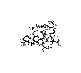 COc1cc(OC2CC(c3cc4c(C(C)O)nc5c(F)c(-c6cccc(Cl)c6Cl)c(CCC#N)cc5c4n3C3C4CNC3C4)N(C(=O)C3CC3)C2)ccn1